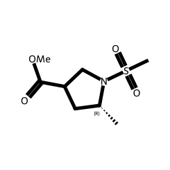 COC(=O)C1C[C@@H](C)N(S(C)(=O)=O)C1